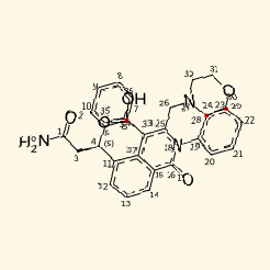 NC(=O)C[C@@H](c1ccccc1)c1cccc2c(=O)n(-c3ccccc3)c(CN3CCOCC3)c(C(=O)O)c12